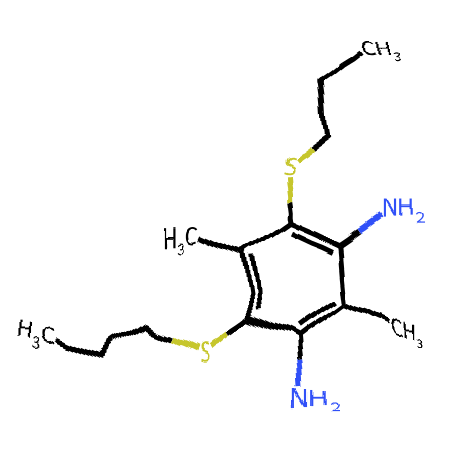 CCCSc1c(C)c(SCCC)c(N)c(C)c1N